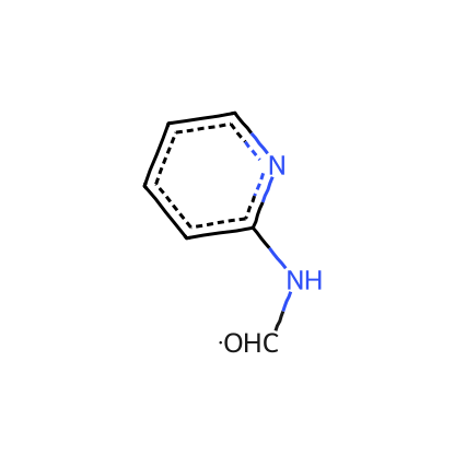 O=[C]Nc1ccccn1